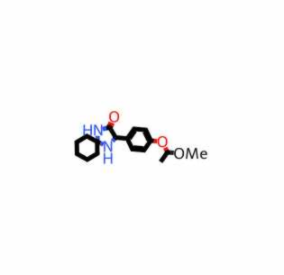 COC(C)Oc1ccc(C2NC3(CCCCC3)NC2=O)cc1